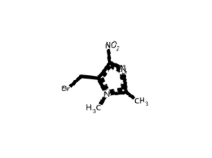 Cc1nc([N+](=O)[O-])c(CBr)n1C